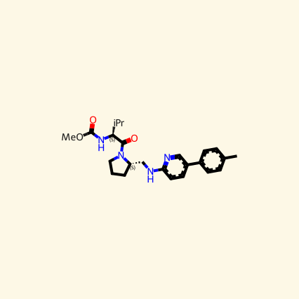 COC(=O)N[C@H](C(=O)N1CCC[C@H]1CNc1ccc(-c2ccc(C)cc2)cn1)C(C)C